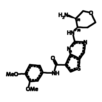 COc1ccc(NC(=O)c2csc3cnc(N[C@@H]4CCOC[C@@H]4N)nc23)cc1OC